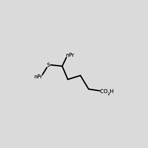 CCCSC(CCC)CCCC(=O)O